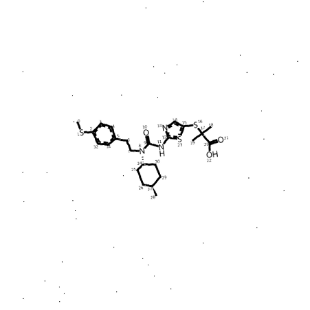 CSc1ccc(CCN(C(=O)Nc2ncc(SC(C)(C)C(=O)O)s2)[C@H]2CC[C@H](C)CC2)cc1